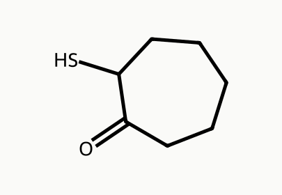 O=C1CCCCCC1S